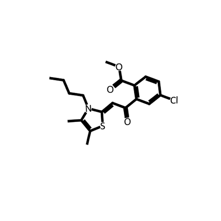 CCCCN1C(C)=C(C)S/C1=C\C(=O)c1cc(Cl)ccc1C(=O)OC